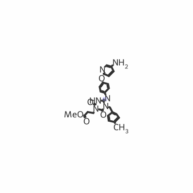 COC(=O)CCn1c(=O)[nH]/c(=N\c2ccc(Oc3ccc(N)cn3)cc2)n(Cc2ccc(C)cc2)c1=O